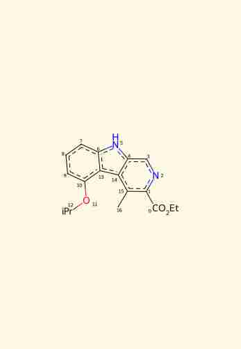 CCOC(=O)c1ncc2[nH]c3cccc(OC(C)C)c3c2c1C